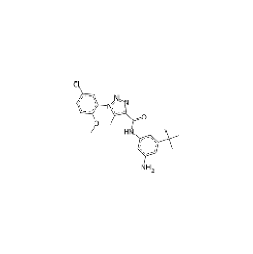 COc1ccc(Cl)cc1-n1nnc(C(=O)Nc2cc(N)cc(C(C)(C)C)c2)c1C